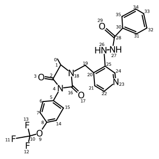 CC1C(=O)N(c2ccc(OC(F)(F)F)cc2)C(=O)N1Cc1ccncc1NNC(=O)c1ccccc1